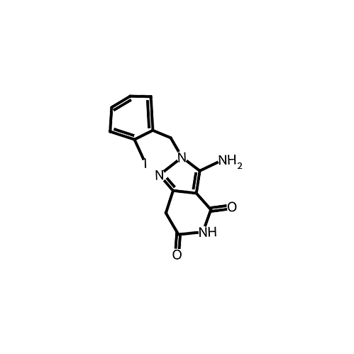 Nc1c2c(nn1Cc1ccccc1I)CC(=O)NC2=O